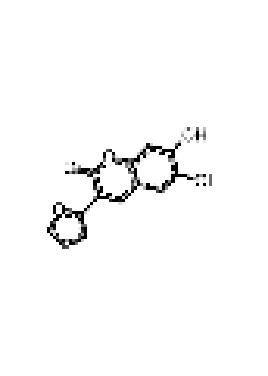 O=c1oc2cc(O)c(O)cc2cc1-c1ccco1